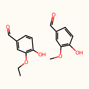 CCOc1cc(C=O)ccc1O.COc1cc(C=O)ccc1O